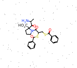 CC(N)C(=O)C1(C(=O)O)CCCN1C(=O)C(CSC(=O)c1ccccc1)SC(=O)c1ccccc1